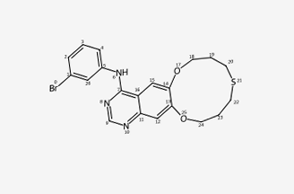 Brc1cccc(Nc2ncnc3cc4c(cc23)OCCCSCCCO4)c1